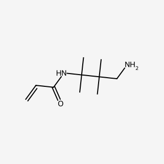 C=CC(=O)NC(C)(C)C(C)(C)CN